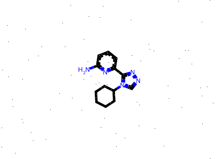 Nc1cccc(-c2nncn2C2CCCCC2)n1